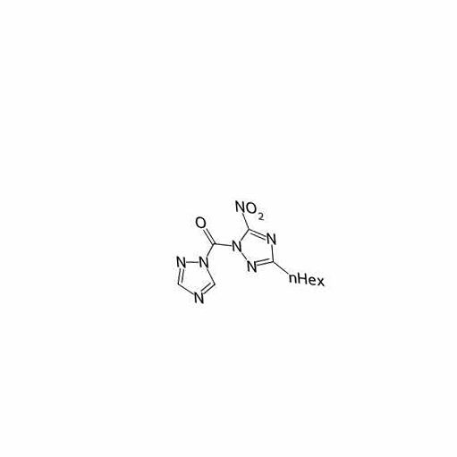 CCCCCCc1nc([N+](=O)[O-])n(C(=O)n2cncn2)n1